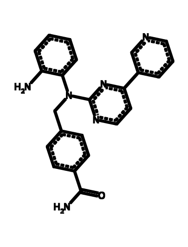 NC(=O)c1ccc(CN(c2nccc(-c3cccnc3)n2)c2ccccc2N)cc1